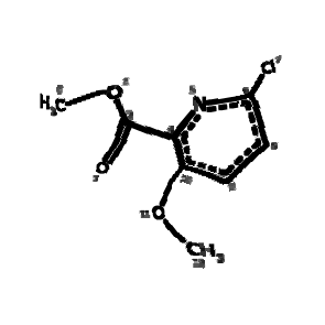 COC(=O)c1nc(Cl)ccc1OC